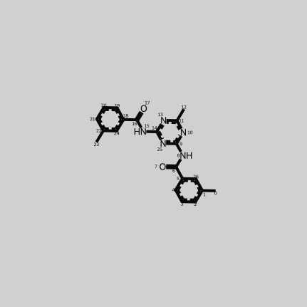 Cc1cccc(C(=O)Nc2nc(C)nc(NC(=O)c3cccc(C)c3)n2)c1